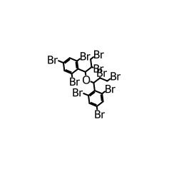 BrCC(Br)C(OC(c1c(Br)cc(Br)cc1Br)C(Br)CBr)c1c(Br)cc(Br)cc1Br